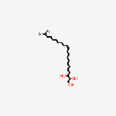 CC(=O)C(CCCCCCC/C=C\CCCCCCCCC(O)C(O)CO)C(C)=O